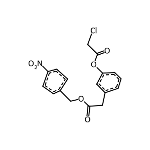 O=C(Cc1cccc(OC(=O)CCl)c1)OCc1ccc([N+](=O)[O-])cc1